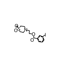 O=C(OCCN1CCS(=O)(=O)CC1)c1cccc(I)c1